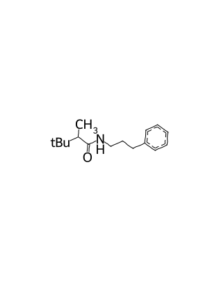 CC(C(=O)NCCCc1ccccc1)C(C)(C)C